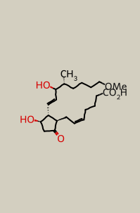 COCCCC[C@@H](C)C(O)/C=C/[C@H]1[C@H](O)CC(=O)[C@@H]1C/C=C\CCCC(=O)O